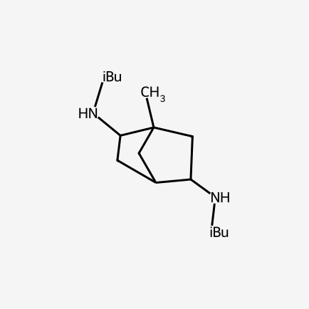 CCC(C)NC1CC2(C)CC1CC2NC(C)CC